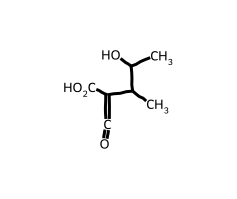 CC(O)C(C)C(=C=O)C(=O)O